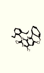 CCc1cccc(CC)c1-n1c(=O)nc(Cl)c2cc(Cl)c(-c3ccccc3F)nc21